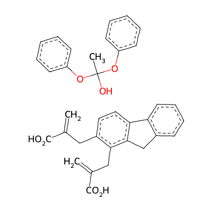 C=C(Cc1ccc2c(c1CC(=C)C(=O)O)Cc1ccccc1-2)C(=O)O.CC(O)(Oc1ccccc1)Oc1ccccc1